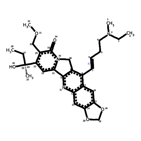 CCN(C)CC/C=C/c1c2c(nc3cc4c(cc13)OCO4)-c1cc([C@@](C)(O)CC)c(COC)c(=O)n1C2